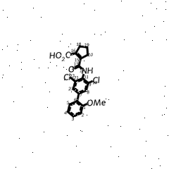 COc1ccccc1-c1cc(Cl)c(NC(=O)C2=C(C(=O)O)CCC2)c(Cl)c1